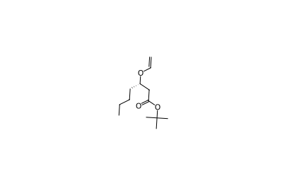 C=CO[C@@H](CCCC)CC(=O)OC(C)(C)C